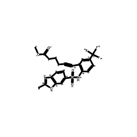 COC(=O)CCCC#Cc1cc(C(F)(F)F)ccc1NS(=O)(=O)c1ccc2nc(C)oc2c1